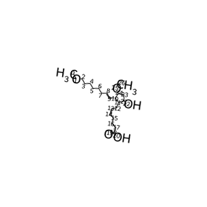 COCCCCCC/C=C/[C@@H]1C(C/C=C\CCCC(=O)O)[C@@H](O)C[C@H]1OC